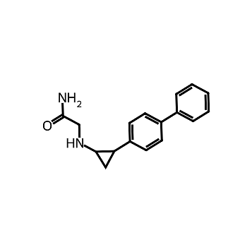 NC(=O)CNC1CC1c1ccc(-c2ccccc2)cc1